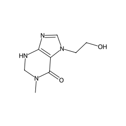 CN1CNc2ncn(CCO)c2C1=O